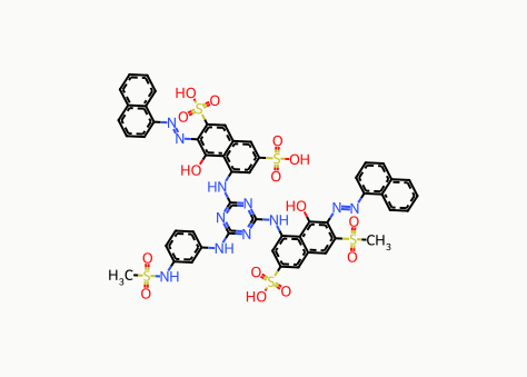 CS(=O)(=O)Nc1cccc(Nc2nc(Nc3cc(S(=O)(=O)O)cc4cc(S(C)(=O)=O)c(/N=N/c5cccc6ccccc56)c(O)c34)nc(Nc3cc(S(=O)(=O)O)cc4cc(S(=O)(=O)O)c(/N=N/c5cccc6ccccc56)c(O)c34)n2)c1